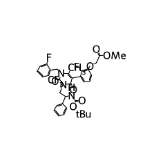 COC(=O)COc1cccc(-c2c(C)n(Cc3c(F)cccc3C(F)(F)F)c(=O)n(CC(NC(=O)OC(C)(C)C)c3ccccc3)c2=O)c1F